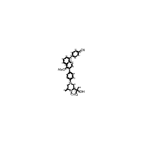 COc1c(-c2ccc(N3CC(C)N(C=O)C(C(C)(C)O)C3)cc2)cnc2c(-c3ccc(C#N)cc3)cccc12